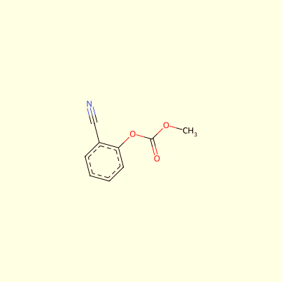 COC(=O)Oc1ccccc1C#N